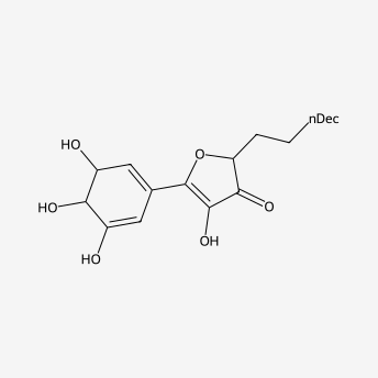 CCCCCCCCCCCCC1OC(C2=CC(O)C(O)C(O)=C2)=C(O)C1=O